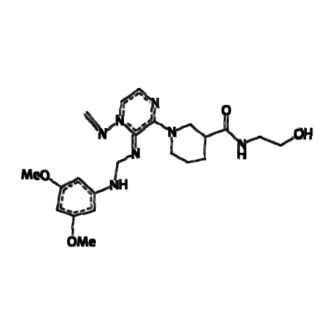 C=Nn1ccnc(N2CCCC(C(=O)NCCO)C2)/c1=N/CNc1cc(OC)cc(OC)c1